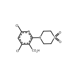 O=C(O)c1c(Cl)cc(Cl)nc1N1CCS(=O)(=O)CC1